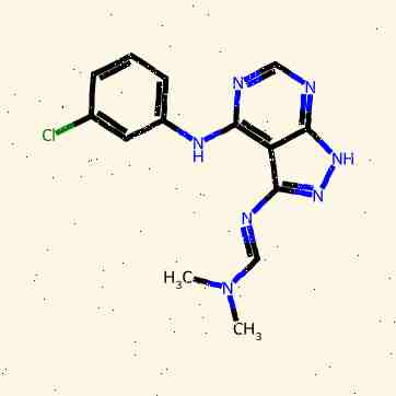 CN(C)C=Nc1n[nH]c2ncnc(Nc3cccc(Cl)c3)c12